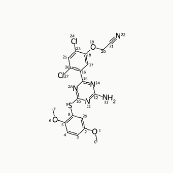 COc1ccc(OC)c(Sc2nc(N)nc(-c3cc(OCC#N)c(Cl)cc3Cl)n2)c1